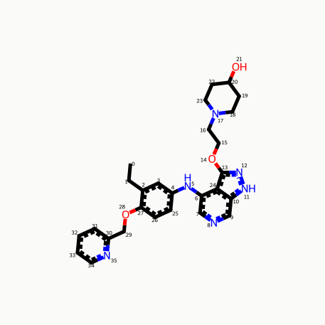 CCc1cc(Nc2cncc3[nH]nc(OCCN4CCC(O)CC4)c23)ccc1OCc1ccccn1